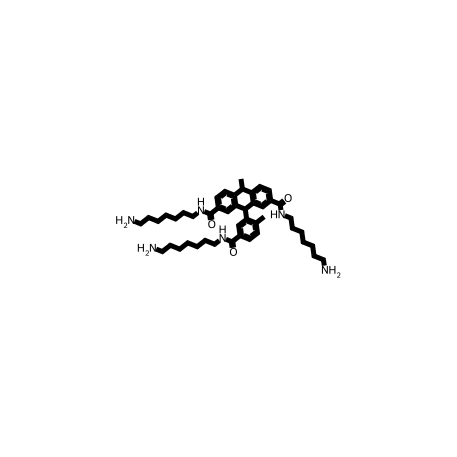 Cc1ccc(C(=O)NCCCCCCCN)cc1C1c2cc(C(=O)NCCCCCCCN)ccc2C(C)c2ccc(C(=O)NCCCCCCCN)cc21